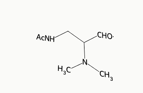 CC(=O)NCC([C]=O)N(C)C